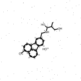 CC(CO)C(O)NCc1ccc2c(c1)-c1ccc(Cl)c3cccc-2c13.Cl